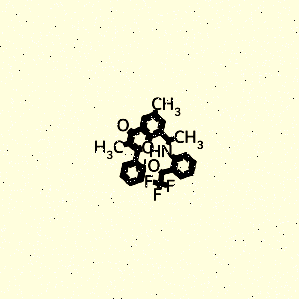 Cc1cc(C(C)Nc2ccccc2C(O)C(F)(F)F)c2oc(-c3ccccc3)c(C)c(=O)c2c1